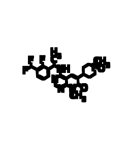 C[C@@H](Nc1ncnc2c1cc(C1CCP(C)(=O)CC1)c(=O)n2C)c1cccc(C(F)F)c1F